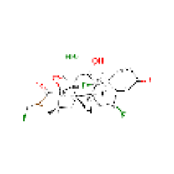 Br.C[C@@H]1C[C@H]2[C@@H]3C[C@H](F)C4=CC(=O)C=C[C@]4(C)[C@@]3(F)[C@@H](O)C[C@]2(C)[C@@]1(O)C(=O)SCF